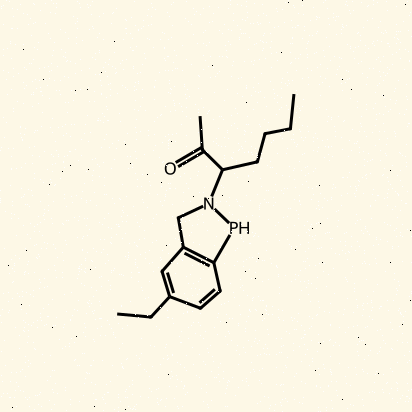 CCCCC(C(C)=O)N1Cc2cc(CC)ccc2P1